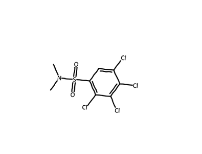 CN(C)S(=O)(=O)c1cc(Cl)c(Cl)c(Cl)c1Cl